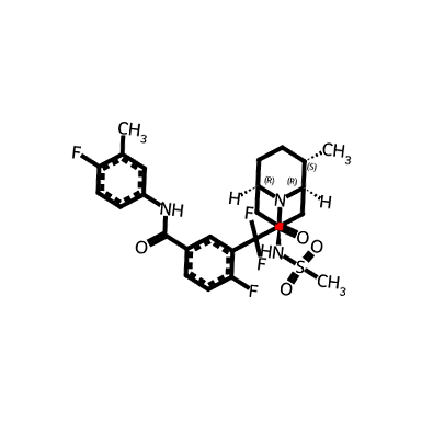 Cc1cc(NC(=O)c2ccc(F)c(C(F)(F)C(=O)N3[C@@H]4CC[C@H](C)[C@H]3C[C@@H](NS(C)(=O)=O)C4)c2)ccc1F